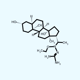 CCON(N=C(N)N)C(C)[C@H]1CC[C@]2(O)[C@@H]3CC[C@@H]4C[C@@H](O)CC[C@]4(C)[C@H]3CC[C@]12C